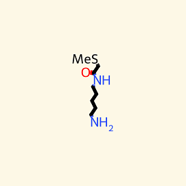 CSCC(=O)NCCCCCN